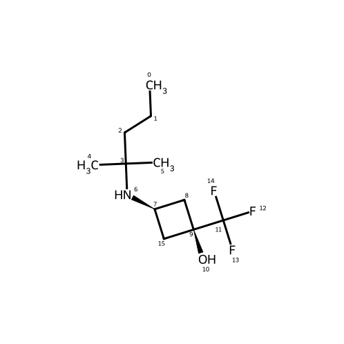 CCCC(C)(C)N[C@H]1C[C@](O)(C(F)(F)F)C1